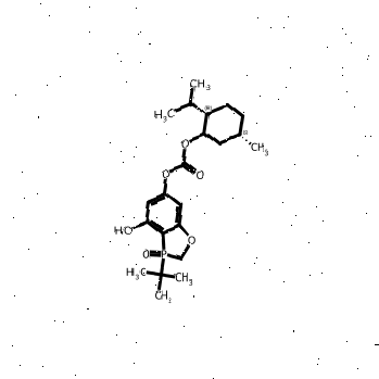 CC(C)[C@H]1CC[C@H](C)CC1OC(=O)Oc1cc(O)c2c(c1)OCP2(=O)C(C)(C)C